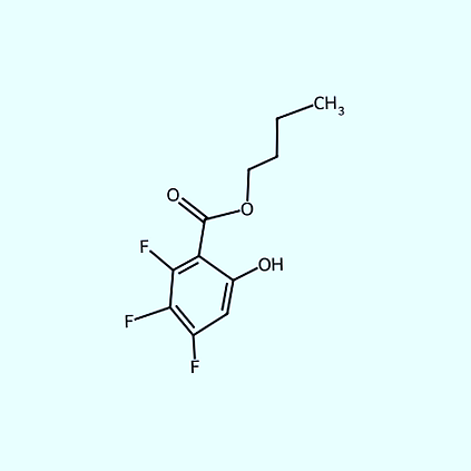 CCCCOC(=O)c1c(O)cc(F)c(F)c1F